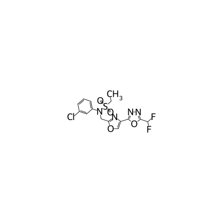 CCS(=O)(=O)N(Cc1nc(-c2nnc(C(F)F)o2)co1)c1cccc(Cl)c1